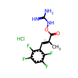 C/C(=C\c1c(F)c(F)cc(F)c1F)C(=O)ONC(=N)N.Cl